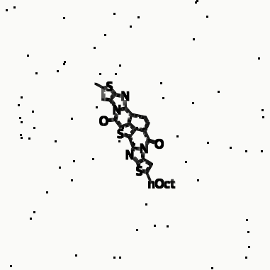 CCCCCCCCc1cc2c(nc3c4sc5c(=O)n6c7cc(C)sc7nc6c6ccc(c(=O)n23)c4c56)s1